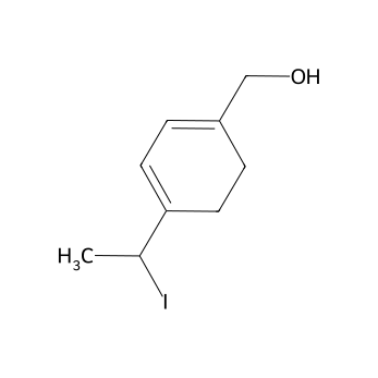 CC(I)C1=CC=C(CO)CC1